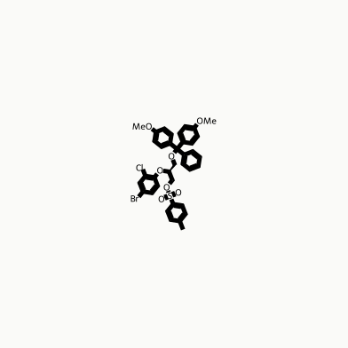 COc1ccc(C(OC[C@@H](COS(=O)(=O)c2ccc(C)cc2)Oc2ccc(Br)cc2Cl)(c2ccccc2)c2ccc(OC)cc2)cc1